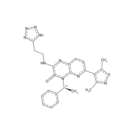 Cc1noc(C)c1-c1ccc2nc(NCCc3nnn[nH]3)c(=O)n([C@@H](C)c3ccccc3)c2n1